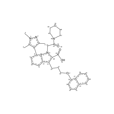 Cc1nn(C)c(C)c1-c1cccc2c(CCCOc3cccc4ccccc34)c(C(=O)O)n(CC(=O)N3CCOCC3)c12